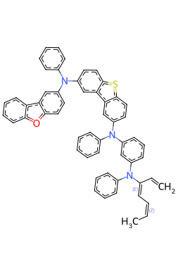 C=C/C(=C\C=C/C)N(c1ccccc1)c1cccc(N(c2ccccc2)c2ccc3sc4ccc(N(c5ccccc5)c5ccc6oc7ccccc7c6c5)cc4c3c2)c1